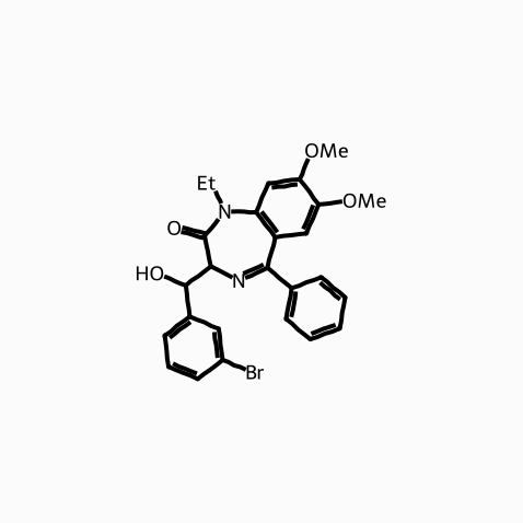 CCN1C(=O)C(C(O)c2cccc(Br)c2)N=C(c2ccccc2)c2cc(OC)c(OC)cc21